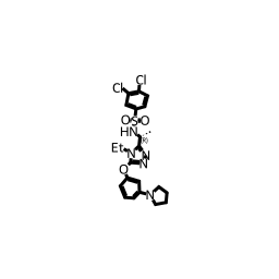 CCn1c(Oc2cccc(N3CCCC3)c2)nnc1[C@@H](C)NS(=O)(=O)c1ccc(Cl)c(Cl)c1